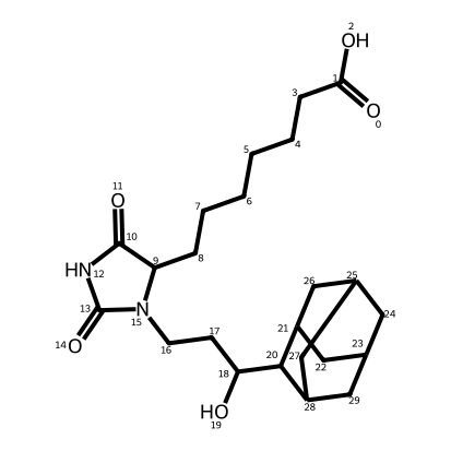 O=C(O)CCCCCCC1C(=O)NC(=O)N1CCC(O)C1C2CC3CC(C2)CC1C3